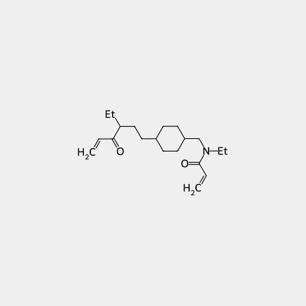 C=CC(=O)C(CC)CCC1CCC(CN(CC)C(=O)C=C)CC1